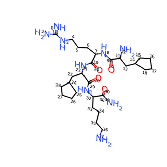 N=C(N)NCCCC(NC(=O)C(N)CC1CCCC1)C(=O)NC(CC1CCCC1)C(=O)NC(CCCCN)C(N)=O